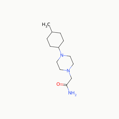 CC1CCC(N2CCN(CC(N)=O)CC2)CC1